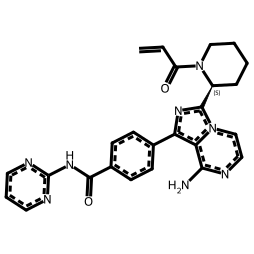 C=CC(=O)N1CCCC[C@H]1c1nc(-c2ccc(C(=O)Nc3ncccn3)cc2)c2c(N)nccn12